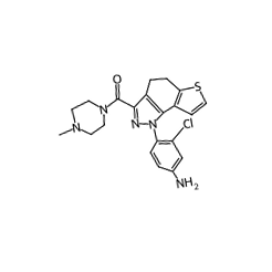 CN1CCN(C(=O)c2nn(-c3ccc(N)cc3Cl)c3c2CCc2sccc2-3)CC1